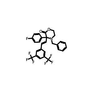 O=C1OCCN(Cc2ccccc2)C1(C=Cc1cc(C(F)(F)F)cc(C(F)(F)F)c1)c1ccc(F)cc1